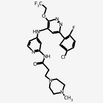 CN1CCN(CCC(=O)Nc2cc(Nc3cc(-c4cc(Cl)ccc4F)nnc3OCC(F)(F)F)ccn2)CC1